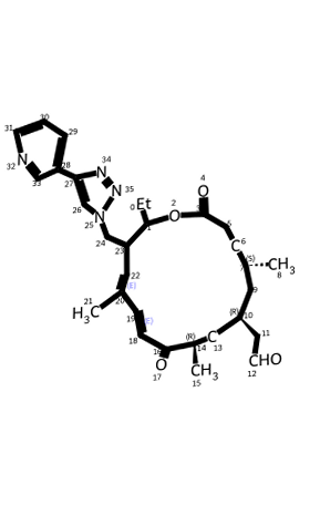 CCC1OC(=O)CC[C@H](C)C[C@@H](CC=O)C[C@@H](C)C(=O)/C=C/C(C)=C/C1Cn1cc(-c2cccnc2)nn1